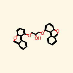 OC(COC1=CC=CC2OC=c3ccccc3=C12)COC1=CC=CC2OC=c3ccccc3=C12